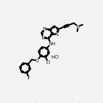 CN(C)CC#Cc1cc2ncnc(Nc3ccc(OCc4cccc(F)c4)c(Cl)c3)c2s1.Cl